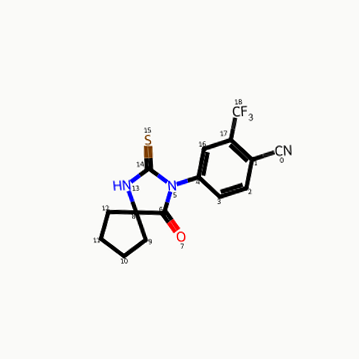 N#Cc1ccc(N2C(=O)C3(CCCC3)NC2=S)cc1C(F)(F)F